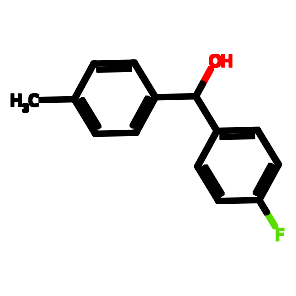 Cc1ccc(C(O)c2ccc(F)cc2)cc1